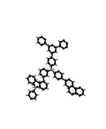 c1ccc(-c2cc(-c3ccccc3)cc(-c3ccc(N(c4ccc(-c5ccc6c(ccc7ccccc76)c5)cc4)c4cccc(-c5cccc6c5c5ccccc5n6-c5ccccc5)c4)cc3)c2)cc1